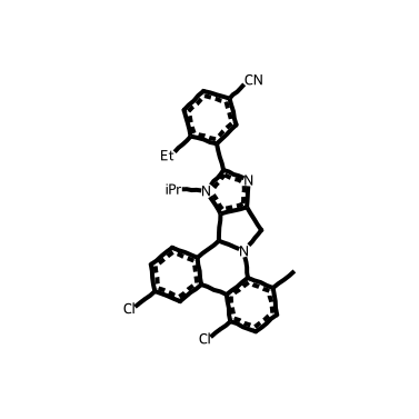 CCc1ccc(C#N)cc1-c1nc2c(n1C(C)C)C1c3ccc(Cl)cc3-c3c(Cl)ccc(C)c3N1C2